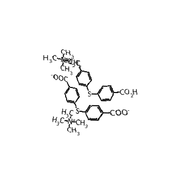 C[N+](C)(C)C.C[N+](C)(C)C.O=C(O)c1ccc(Sc2ccc(C(=O)O)cc2)cc1.O=C([O-])c1ccc(Sc2ccc(C(=O)[O-])cc2)cc1